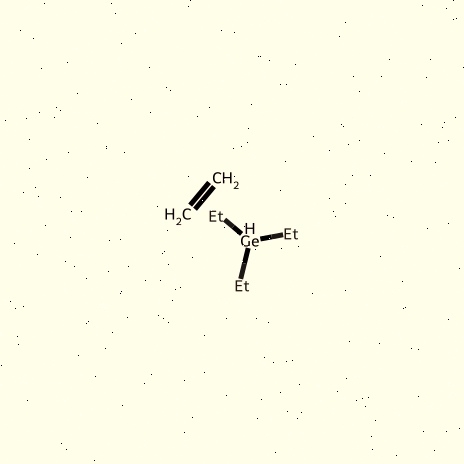 C=C.C[CH2][GeH]([CH2]C)[CH2]C